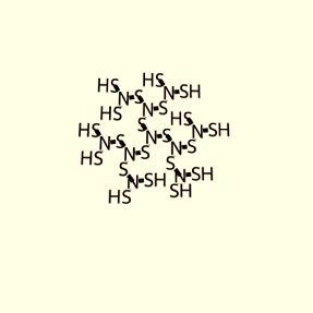 SN(S)SN(SN(S)S)SN(SN(SN(S)S)SN(S)S)SN(SN(S)S)SN(S)S